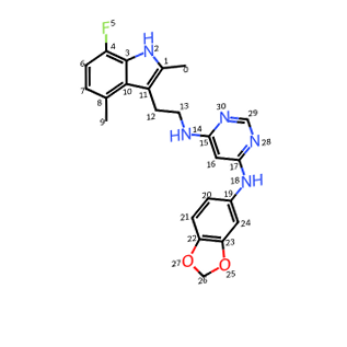 Cc1[nH]c2c(F)ccc(C)c2c1CCNc1cc(Nc2ccc3c(c2)OCO3)ncn1